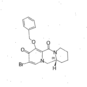 O=C1c2c(OCc3ccccc3)c(=O)c(Br)cn2C[C@H]2CCCCN12